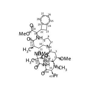 CC[C@H](C)[C@@H]([C@@H](CC(=O)N1CCC[C@H]1[C@H](OC)[C@@H](C)C(=O)NC(C(=O)OC)C1Cc2ccccc21)OC)N(C)[C@H](C(=O)NC(=O)C(C)(C)N)C(C)C